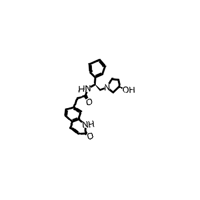 O=C(Cc1ccc2ccc(=O)[nH]c2c1)N[C@H](CN1CC[C@@H](O)C1)c1ccccc1